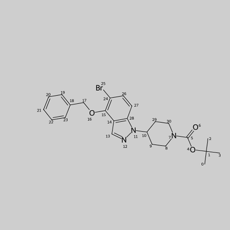 CC(C)(C)OC(=O)N1CCC(n2ncc3c(OCc4ccccc4)c(Br)ccc32)CC1